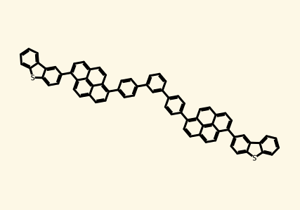 c1cc(-c2ccc(-c3ccc4ccc5c(-c6ccc7sc8ccccc8c7c6)ccc6ccc3c4c65)cc2)cc(-c2ccc(-c3ccc4ccc5c(-c6ccc7sc8ccccc8c7c6)ccc6ccc3c4c65)cc2)c1